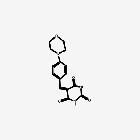 O=C1NC(=O)C(=Cc2ccc(N3CCOCC3)cc2)C(=O)N1